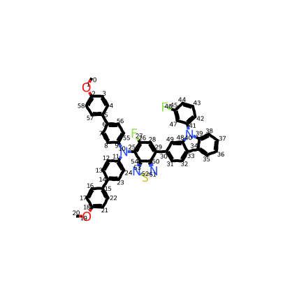 COc1ccc(-c2ccc(N(c3ccc(-c4ccc(OC)cc4)cc3)c3c(F)cc(-c4ccc5c6ccccc6n(-c6cccc(F)c6)c5c4)c4nsnc34)cc2)cc1